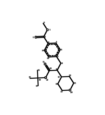 COC(=O)c1ccc(CC(C(=O)OC(C)(C)C)C2CCOCC2)cc1